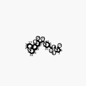 O=C(ON1C(=O)CCC1=O)C1CCN(C(=O)c2cc3cc4c5c(c3oc2=O)CCCN5CCC4)CC1